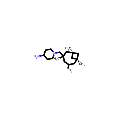 CC1CC(C)(CN2CCC(N)CC2)C[C@]2(C)C[C@@](C)(C1)C2